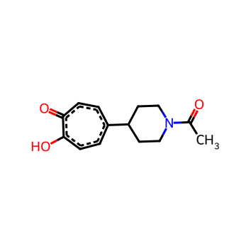 CC(=O)N1CCC(c2ccc(O)c(=O)cc2)CC1